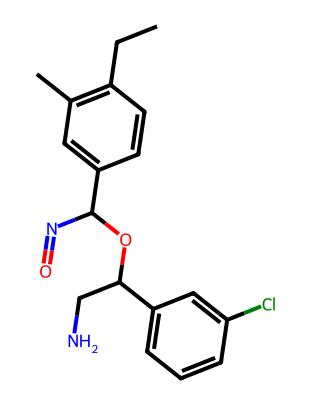 CCc1ccc(C(N=O)OC(CN)c2cccc(Cl)c2)cc1C